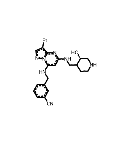 CCc1cnn2c(NCc3cccc(C#N)c3)cc(NCC3CCNC[C@@H]3O)nc12